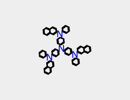 C1=CC(N(c2ccccc2)c2ccc3ccccc3c2)CC=C1N(c1ccc(N(c2ccccc2)c2ccc3ccccc3c2)cc1)c1ccc(N(c2ccccc2)c2ccc3ccccc3c2)cc1